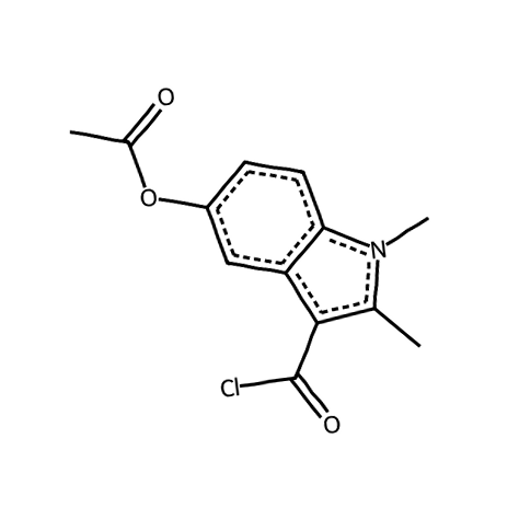 CC(=O)Oc1ccc2c(c1)c(C(=O)Cl)c(C)n2C